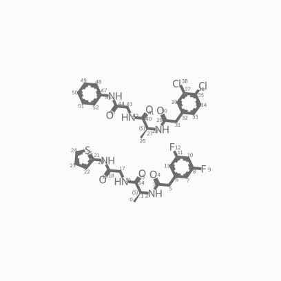 C[C@H](NC(=O)Cc1cc(F)cc(F)c1)C(=O)NCC(=O)Nc1cccs1.C[C@H](NC(=O)Cc1ccc(Cl)c(Cl)c1)C(=O)NCC(=O)Nc1ccccc1